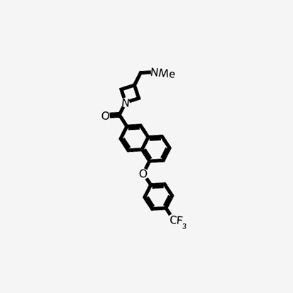 CNCC1CN(C(=O)c2ccc3c(Oc4ccc(C(F)(F)F)cc4)cccc3c2)C1